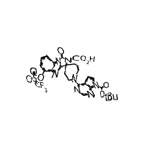 CC(C)(C)OC(=O)n1ccc2c(N3CCC4(CC3)c3nc5c(OS(=O)(=O)C(F)(F)F)cccc5n3C(=O)N4C(=O)O)ncnc21